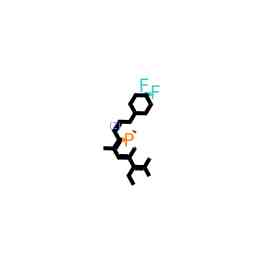 CCC(C1=CC(C)=C(/C=C\CC2CCC(F)(F)CC2)P(C)C1)=C(C)C